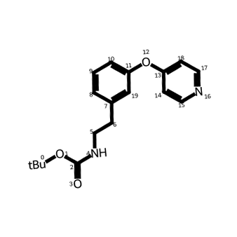 CC(C)(C)OC(=O)NCCc1cccc(Oc2ccncc2)c1